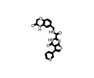 O=C1COc2ccc(CNC(=O)c3nc4scc(-c5cccnc5)c4c(=O)[nH]3)cc2N1